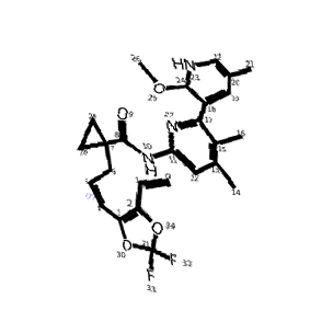 C=CC1=C(/C=C\CC2(C(=O)Nc3cc(C)c(C)c(C4=CC(C)=CNC4OC)n3)CC2)OC(F)(F)O1